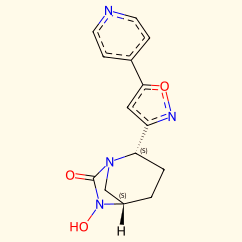 O=C1N(O)[C@H]2CC[C@@H](c3cc(-c4ccncc4)on3)N1C2